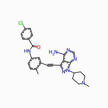 Cc1ccc(NC(=O)c2ccc(Cl)cc2)cc1C#Cc1nn(C2CCN(C)CC2)c2ncnc(N)c12